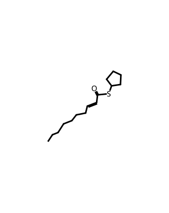 CCCCCCC/C=C/C(=O)SC1CCCC1